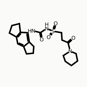 O=C(Nc1c2c(cc3c1CCC3)CCC2)NS(=O)(=O)CCC(=O)N1CCCCC1